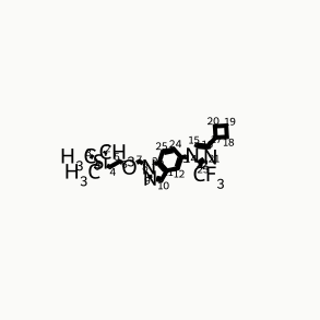 C[Si](C)(C)CCOCn1ncc2cc(-n3cc(C4CCC4)nc3C(F)(F)F)ccc21